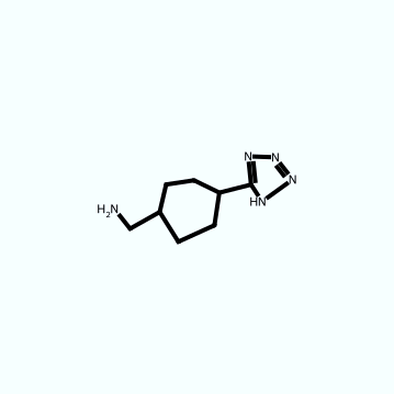 NCC1CCC(c2nnn[nH]2)CC1